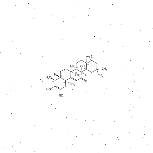 [C-]#[N+]C1=C(O)[C@@H](C)[C@@H]2CC[C@]3(C)C(=CC(=O)[C@]4(O)[C@@H]5CC(C)(C)CC[C@]5(C(=O)O)CC[C@@]34C)[C@@]2(C)C1